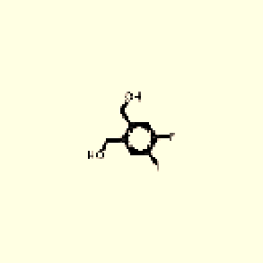 OCc1cc(F)c(I)cc1CO